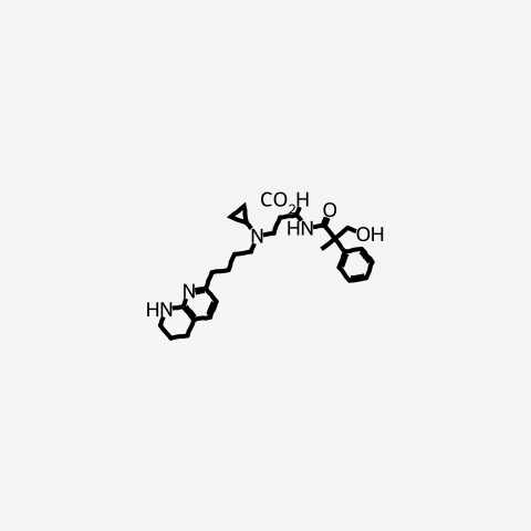 CC(CO)(C(=O)NC(CCN(CCCCc1ccc2c(n1)NCCC2)C1CC1)C(=O)O)c1ccccc1